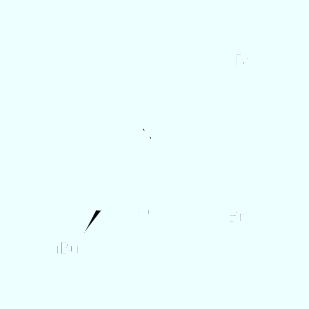 CC[C@H](C)COc1ncc(Br)cc1Br